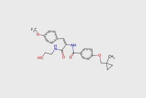 CC1(COc2ccc(C(=O)NC(=Cc3ccc(OC(F)(F)F)cc3)C(=O)NCCO)cc2)CC1